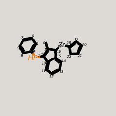 CC1=C(Pc2ccccc2)c2ccccc2[CH]1[Zr][C]1=CC=CC1